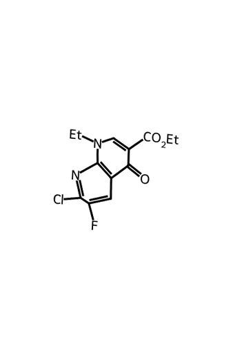 CCOC(=O)c1cn(CC)c2nc(Cl)c(F)cc2c1=O